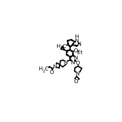 C=CC(=O)N1CC2(CCN(c3nc(OC4CCN(C5COC5)CC4)nc4c(OCC)c(-c5c(C)ccc6[nH]ncc56)c(C5CC5)cc34)CC2)C1